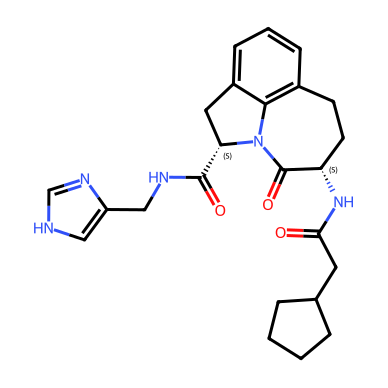 O=C(CC1CCCC1)N[C@H]1CCc2cccc3c2N(C1=O)[C@H](C(=O)NCc1c[nH]cn1)C3